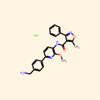 COc1nc(-c2ccc(CN)cc2)ccc1NC(=O)c1c(-c2ccccc2)noc1C.Cl